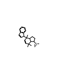 [CH3][Zr]([CH3])[CH]1CCC2C1C(C)(C)C=CC2(C)C1C=Cc2ccccc21